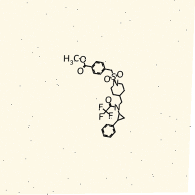 COC(=O)c1ccc(CS(=O)(=O)N2CCC(CN(C(=O)C(F)(F)F)C3CC3c3ccccc3)CC2)cc1